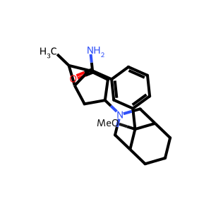 COC1(c2cccc(C(N)=O)c2)C2CCCC1CN(C1CC3C(C)C3C1)C2